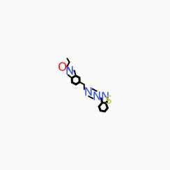 CCC(=O)N1Cc2ccc(CCN3CCN(c4nsc5ccccc45)CC3)cc2C1